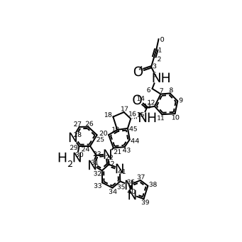 CC#CC(=O)NCc1ccccc1C(=O)N[C@H]1CCc2cc(-n3c(-c4cccnc4N)nc4ccc(-n5cccn5)nc43)ccc21